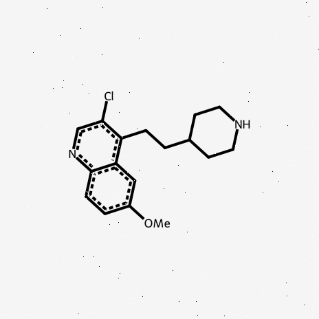 COc1ccc2ncc(Cl)c(CCC3CCNCC3)c2c1